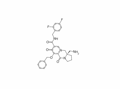 NC[C@@]12CCCN1C(=O)c1c(OCc3ccccc3)c(=O)c(C(=O)NCc3ccc(F)cc3F)cn1C2